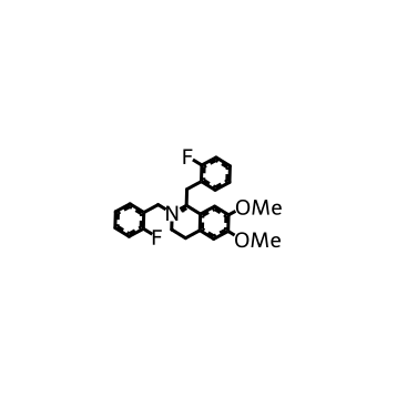 COc1cc2c(cc1OC)C(Cc1ccccc1F)=[N+](Cc1ccccc1F)CC2